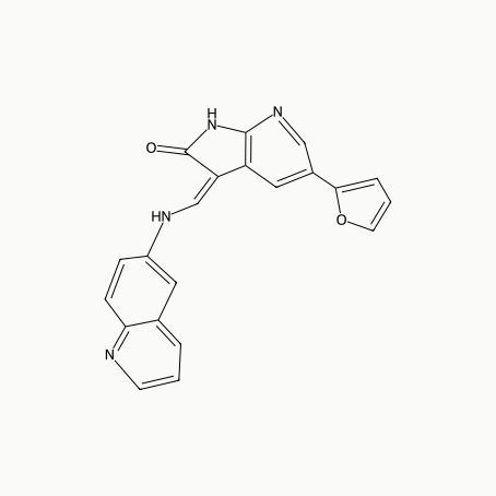 O=C1Nc2ncc(-c3ccco3)cc2C1=CNc1ccc2ncccc2c1